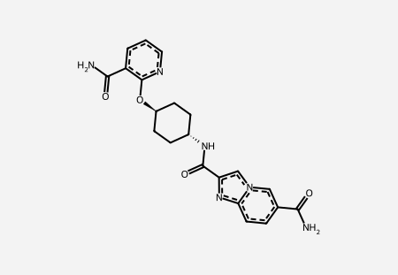 NC(=O)c1ccc2nc(C(=O)N[C@H]3CC[C@H](Oc4ncccc4C(N)=O)CC3)cn2c1